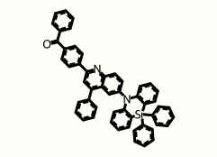 O=C(c1ccccc1)c1ccc(-c2cc(-c3ccccc3)c3cc(N4c5ccccc5[Si](c5ccccc5)(c5ccccc5)c5ccccc54)ccc3n2)cc1